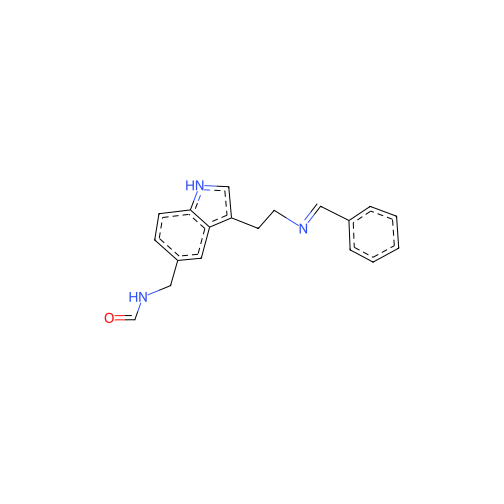 O=CNCc1ccc2[nH]cc(CC/N=C/c3ccccc3)c2c1